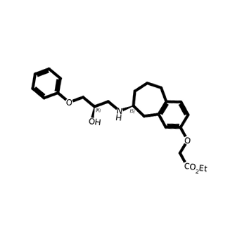 CCOC(=O)COc1ccc2c(c1)C[C@@H](NC[C@@H](O)COc1ccccc1)CCC2